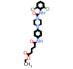 CCOC(=O)CCCC(=O)Nc1ccc(N2CCN(C(=O)Nc3c(Cl)cccc3Cl)CC2)cc1